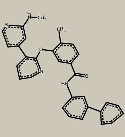 CNc1cc(-c2cccnc2Oc2cc(C(=O)Nc3cccc(-c4ccccc4)c3)ccc2C)ccn1